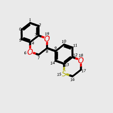 c1ccc2c(c1)OCC(c1ccc3c(c1)SCCO3)O2